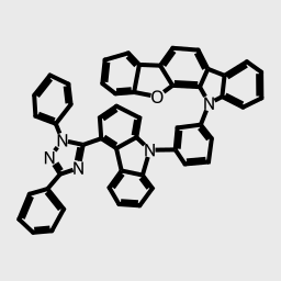 c1ccc(-c2nc(-c3cccc4c3c3ccccc3n4-c3cccc(-n4c5ccccc5c5ccc6c7ccccc7oc6c54)c3)n(-c3ccccc3)n2)cc1